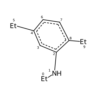 CCNc1cc(CC)ccc1CC